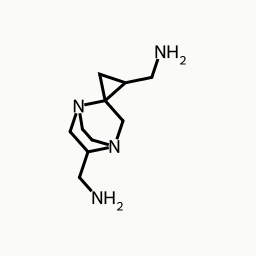 NCC1CN2CCN1CC21CC1CN